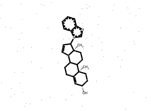 C[C@]12CCC3C(CCC4=C[C@@H](O)CC[C@@]43C)C1C=CC2n1cnc2ccccc21